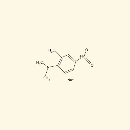 Cc1cc([PH](=O)[O-])ccc1N(C)C.[Na+]